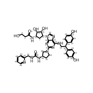 O=C(CCO)N[C@H]1C[C@@H](n2cnc3c(NCC(c4ccc(O)cc4)c4ccc(O)cc4)nc(N4CC[C@@H](NC(=O)NCc5ccccn5)C4)nc32)[C@H](O)[C@@H]1O